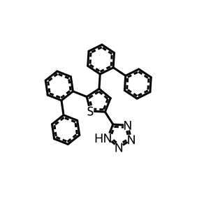 c1ccc(-c2ccccc2-c2cc(-c3nnn[nH]3)sc2-c2ccccc2-c2ccccc2)cc1